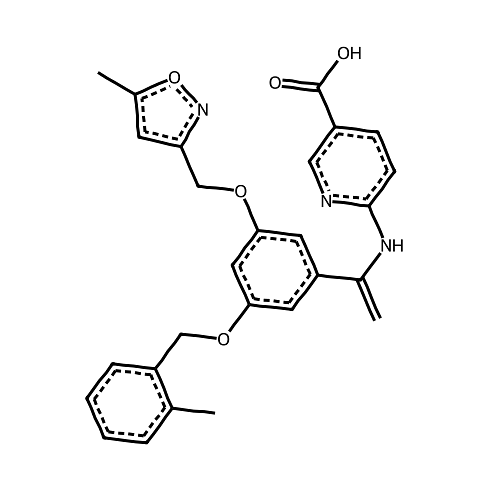 C=C(Nc1ccc(C(=O)O)cn1)c1cc(OCc2cc(C)on2)cc(OCc2ccccc2C)c1